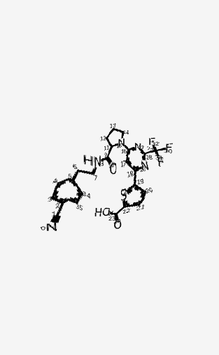 N#Cc1ccc(CCNC(=O)C2CCCN2c2cc(-c3ccc(C(=O)O)s3)nc(C(F)(F)F)n2)cc1